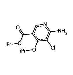 CC(C)OC(=O)c1cnc(N)c(Cl)c1OC(C)C